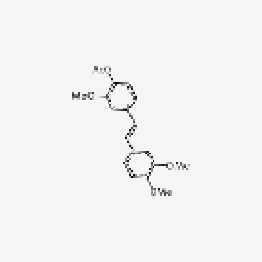 COc1ccc(/C=C/c2ccc(OC(C)=O)c(OC)c2)cc1OC